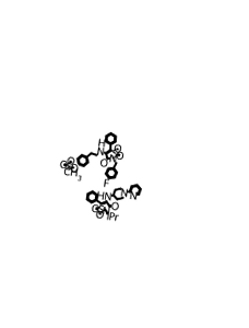 CC(C)N1C(=O)C(NC2CCN(c3ccccn3)CC2)=C(c2ccccc2)S1(=O)=O.CS(=O)(=O)Oc1ccc(CCNC2=C(c3ccccc3)S(=O)(=O)N(Cc3ccc(F)cc3)C2=O)cc1